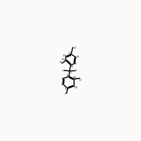 Cc1ccc(C(C)(C)c2ccc(C)cc2C)c(C)c1